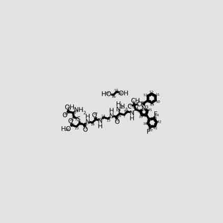 CC(C)(C)[C@@H](NCC[C@H](N)C(=O)NCCNC(=O)CNC(=O)C(CC(=O)O)SC[C@H](N)C(=O)O)c1cc(-c2cc(F)ccc2F)cn1Cc1ccccc1.OCCO